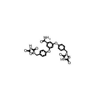 NC(=O)c1cc(Oc2ccc(Cn3oc(=O)[nH]c3=O)cc2)cc(Oc2ccc(Cn3oc(=O)[nH]c3=O)cc2)c1